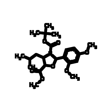 COC(=O)C1OC(c2ccc(OC)cc2OC)N(C(=O)OC(C)(C)C)C1CC(C)C